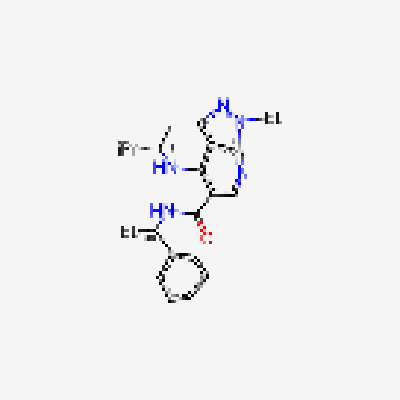 CC[C@@H](NC(=O)c1cnc2c(cnn2CC)c1N[C@@H](C)C(C)C)c1ccccc1